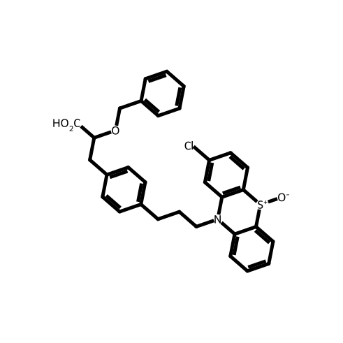 O=C(O)C(Cc1ccc(CCCN2c3ccccc3[S+]([O-])c3ccc(Cl)cc32)cc1)OCc1ccccc1